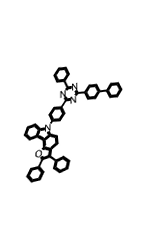 c1ccc(-c2ccc(-c3nc(-c4ccccc4)nc(-c4ccc(-n5c6ccccc6c6c7oc(-c8ccccc8)c(-c8ccccc8)c7ccc65)cc4)n3)cc2)cc1